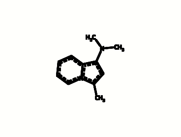 Cc1cc(N(C)C)c2ccccn12